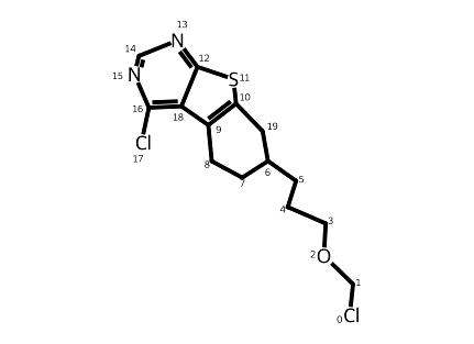 ClCOCCCC1CCc2c(sc3ncnc(Cl)c23)C1